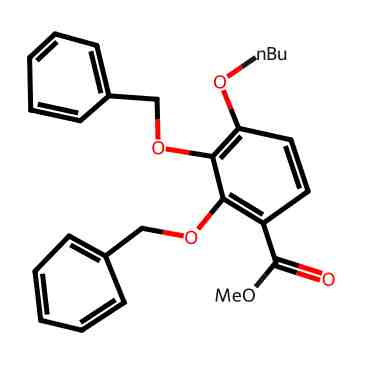 CCCCOc1ccc(C(=O)OC)c(OCc2ccccc2)c1OCc1ccccc1